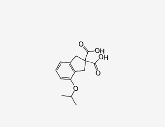 CC(C)Oc1cccc2c1CC(C(=O)O)(C(=O)O)C2